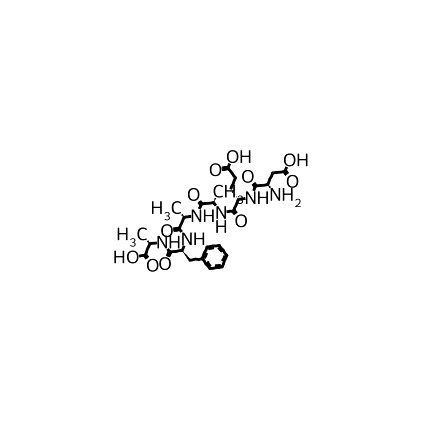 C[C@H](NC(=O)[C@H](Cc1ccccc1)NC(=O)[C@H](C)NC(=O)[C@H](C)NC(=O)[C@H](CCC(=O)O)NC(=O)[C@@H](N)CC(=O)O)C(=O)O